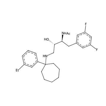 CCc1cccc(C2(NC[C@H](O)[C@H](Cc3cc(F)cc(F)c3)NC(C)=O)CCCCCC2)c1